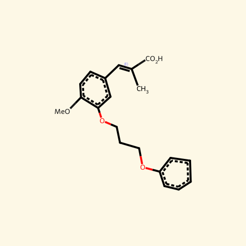 COc1ccc(/C=C(\C)C(=O)O)cc1OCCCOc1ccccc1